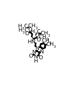 Cc1cc2nc3c(=O)[nH]c(=O)nc-3n(CCN[C@@H](CCC(=O)OC(C)(C)C)C(=O)OC(C)(C)C)c2cc1C